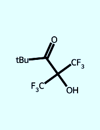 CC(C)(C)C(=O)C(O)(C(F)(F)F)C(F)(F)F